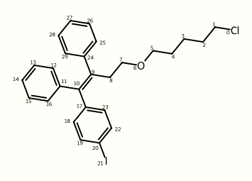 ClCCCCCOCCC(=C(c1ccccc1)c1ccc(I)cc1)c1ccccc1